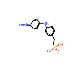 [N-]=[N+]=C1C=CC(Nc2ccc(CCP(=O)(O)O)cc2)=CC1